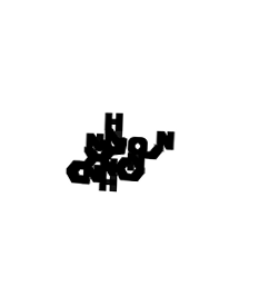 N#CCC(=O)N1CCCC(Nc2c(-c3ccccn3)cnc3[nH]ccc23)C1